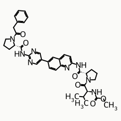 COC(=O)N[C@H](C(=O)N1CCC[C@H]1C(=O)Nc1ccc2cc(-c3cnc(NC(=O)[C@@H]4CCCN4C(=O)Cc4ccccc4)nc3)ccc2n1)C(C)C